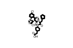 O=C(O)CC1CCC(NC(=O)C(Cc2ccccc2)n2cnc(-c3cc(Cl)ccc3-n3cc(Cl)nn3)cc2=O)CC1